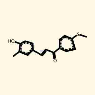 CSc1ccc(C(=O)/C=C/c2ccc(O)c(C)c2)cc1